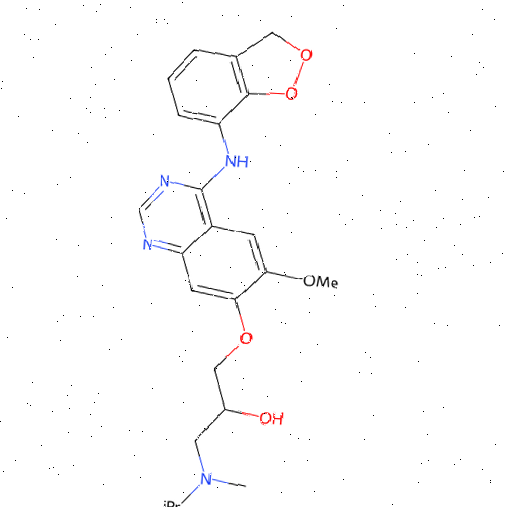 COc1cc2c(Nc3cccc4c3OOC4)ncnc2cc1OCC(O)CN(C)C(C)C